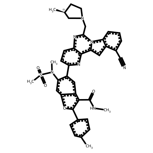 CNC(=O)c1c(-c2ccc(C)cc2)oc2cc(N(C)S(C)(=O)=O)c(-c3ccc4nc(CN5CC[C@H](C)C5)n5c6cccc(C#N)c6cc5c4n3)cc12